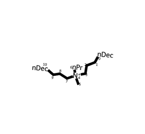 CCCCCCCCCCCCC[N+](C)(CCC)CCCCCCCCCCCCC